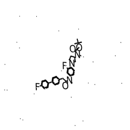 CN(C(=O)Cc1ccc(-c2ccc(F)cc2)cc1)c1ccc(N2CCC(N(C)C(=O)OC(C)(C)C)C2)c(F)c1